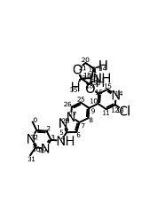 Cc1cc(Nc2cc3cc(-c4cc(Cl)ncc4O[C@@H]4[C@@H]5CO[C@H]4CN5)ccn3n2)nc(C)n1